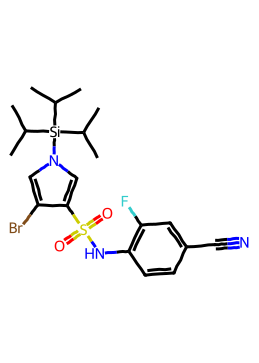 CC(C)[Si](C(C)C)(C(C)C)n1cc(Br)c(S(=O)(=O)Nc2ccc(C#N)cc2F)c1